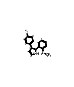 FC(F)(F)Oc1ccccc1C1NC=CC1c1ccc(Cl)cc1